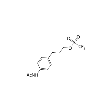 CC(=O)Nc1ccc(CCCOS(=O)(=O)C(F)(F)F)cc1